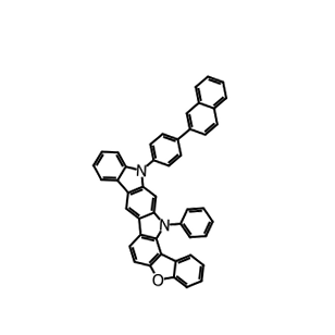 c1ccc(-n2c3cc4c(cc3c3ccc5oc6ccccc6c5c32)c2ccccc2n4-c2ccc(-c3ccc4ccccc4c3)cc2)cc1